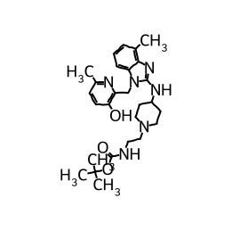 Cc1ccc(O)c(Cn2c(NC3CCN(CCNC(=O)OC(C)(C)C)CC3)nc3c(C)cccc32)n1